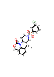 Cc1cccc2c1N(C1CCN(S(=O)(=O)c3cccc(Br)c3)CC1)C(=O)OC2